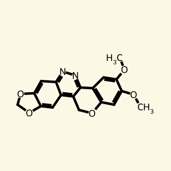 COc1cc2c(cc1OC)-c1nnc3cc4c(cc3c1CO2)OCO4